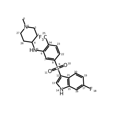 CN1CCC(Nc2cc(S(=O)(=O)c3c[nH]c4cc(F)ccc34)ccc2C(F)(F)F)CC1